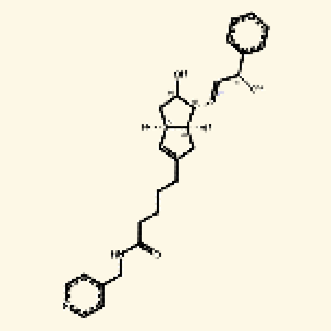 O=C(CCCCC1=C[C@H]2C[C@@H](O)[C@H](/C=C/[C@@H](O)c3ccccc3)[C@H]2C1)NCc1ccncc1